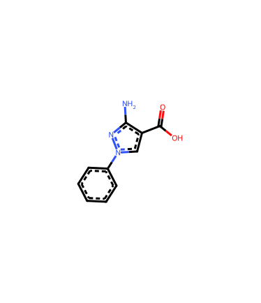 Nc1nn(-c2ccccc2)cc1C(=O)O